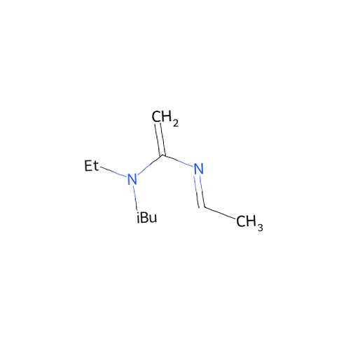 C=C(/N=C/C)N(CC)C(C)CC